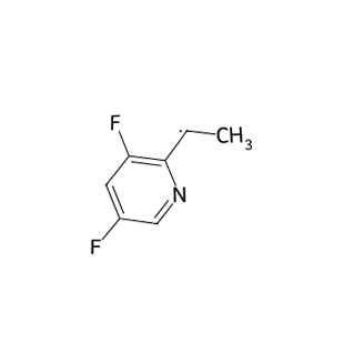 C[CH]c1ncc(F)cc1F